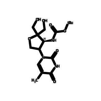 Cc1cn(C2COC(CO)(CO)[C@H]2NC(=O)OC(C)(C)C)c(=O)[nH]c1=O